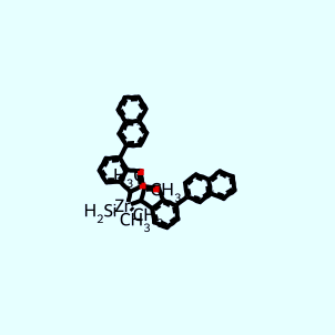 CC1=Cc2c(-c3ccc4ccccc4c3)cccc2[CH]1[Zr]([CH3])([CH3])(=[SiH2])[CH]1C(C)=Cc2c(-c3ccc4ccccc4c3)cccc21